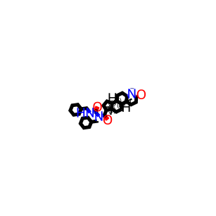 CN1C(=O)CC[C@@]2(C)C1CC[C@@H]1[C@H]2CC[C@]2(C)C(C(=O)N(CC3CCCCC3)C(=O)NCC3CCCCC3)CC[C@@H]12